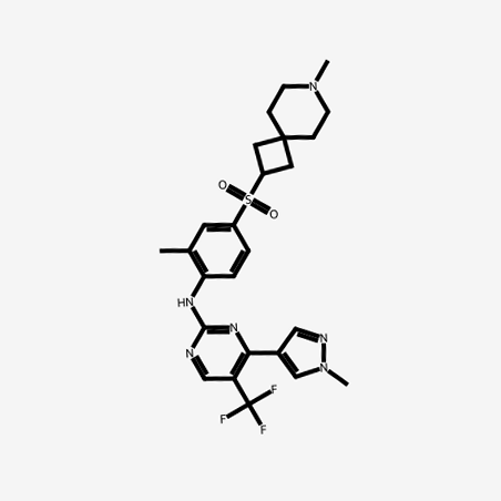 Cc1cc(S(=O)(=O)C2CC3(CCN(C)CC3)C2)ccc1Nc1ncc(C(F)(F)F)c(-c2cnn(C)c2)n1